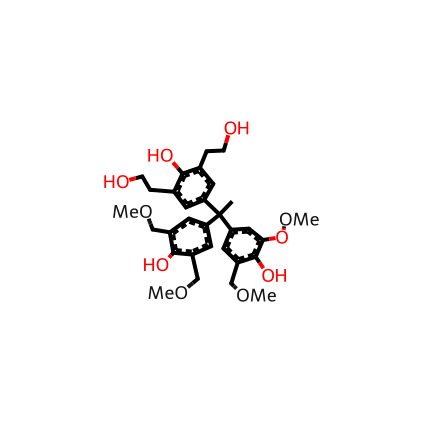 COCc1cc(C(C)(c2cc(CCO)c(O)c(CCO)c2)c2cc(COC)c(O)c(OOC)c2)cc(COC)c1O